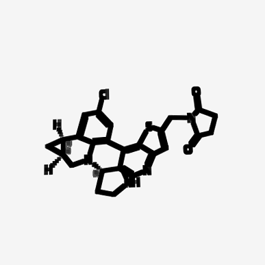 O=C1CCC(=O)N1Cc1cc2nccc(-c3cc(Cl)cc4c3N([C@H]3CCNC3)C[C@H]3C[C@@H]43)c2s1